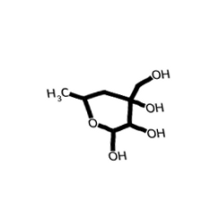 CC1CC(O)(CO)C(O)C(O)O1